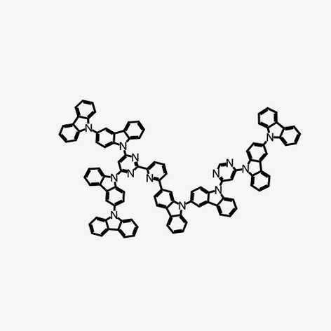 c1cc(-c2ccc3c4ccccc4n(-c4ccc5c(c4)c4ccccc4n5-c4cc(-n5c6ccccc6c6cc(-n7c8ccccc8c8ccccc87)ccc65)ncn4)c3c2)nc(-c2nc(-n3c4ccccc4c4cc(-n5c6ccccc6c6ccccc65)ccc43)cc(-n3c4ccccc4c4cc(-n5c6ccccc6c6ccccc65)ccc43)n2)c1